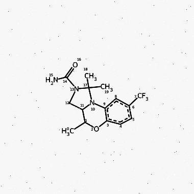 CC1Oc2ccc(C(F)(F)F)cc2N2C1CN(C(N)=O)C2(C)C